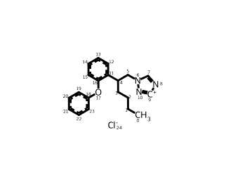 CCCCC(CN1C=N[C+]=N1)c1ccccc1Oc1ccccc1.[Cl-]